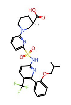 CC(C)COc1ccccc1-c1nc(NS(=O)(=O)c2cccc(N3CCC[C@@](C)(C(=O)O)C3)n2)ccc1C(F)(F)F